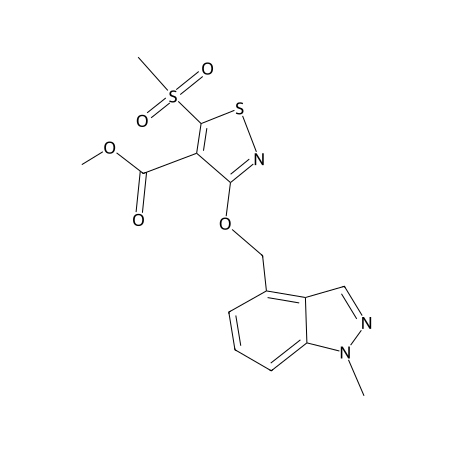 COC(=O)c1c(OCc2cccc3c2cnn3C)nsc1S(C)(=O)=O